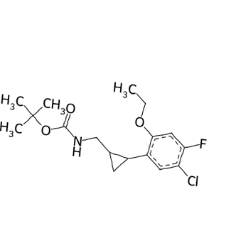 CCOc1cc(F)c(Cl)cc1C1CC1CNC(=O)OC(C)(C)C